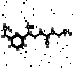 CCOC(=O)OCC(O)c1cccc(CC)c1